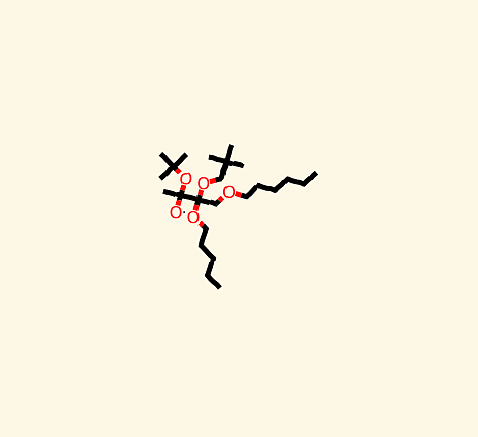 CCCCCCOCC(OCCCCC)(OCC(C)(C)C)C(C)([O])OC(C)(C)C